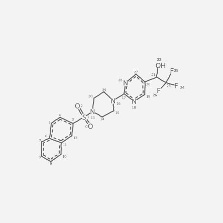 O=S(=O)(c1ccc2ccccc2c1)N1CCN(c2ncc(C(O)C(F)(F)F)cn2)CC1